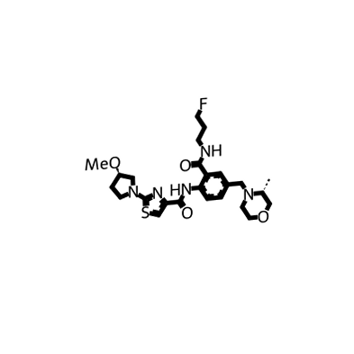 CO[C@H]1CCN(c2nc(C(=O)Nc3ccc(CN4CCOC[C@H]4C)cc3C(=O)NCCCF)cs2)C1